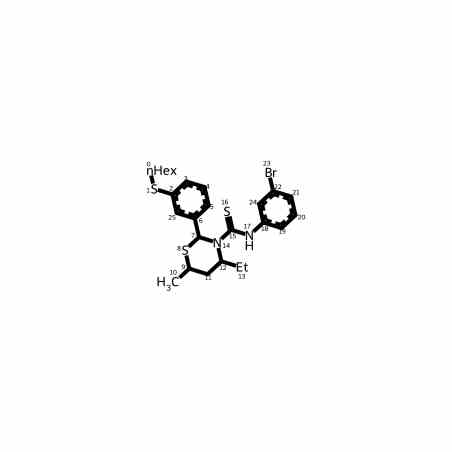 CCCCCCSc1cccc(C2SC(C)CC(CC)N2C(=S)Nc2cccc(Br)c2)c1